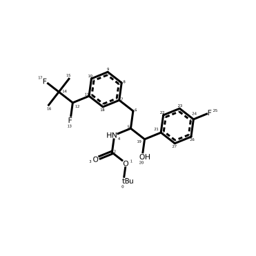 CC(C)(C)OC(=O)NC(Cc1cccc(C(F)C(C)(C)F)c1)C(O)c1ccc(F)cc1